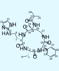 CC[C@@H]1NC(=O)[C@H](CC[AsH]c2ncc[nH]2)NC(=O)[C@](C)(NC(=O)C(C)C)CCNC(=O)[C@@H](c2ccccc2)NC1=O